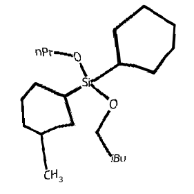 CCCO[Si](OCC(C)CC)(C1CCCCC1)C1CCCC(C)C1